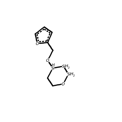 c1coc(CO[SiH]2CCO[SiH2][SiH2]2)c1